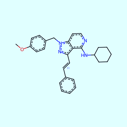 COc1ccc(Cn2nc(/C=C/c3ccccc3)c3c(NC4CCCCC4)nccc32)cc1